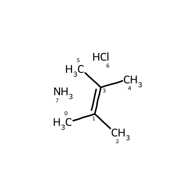 CC(C)=C(C)C.Cl.N